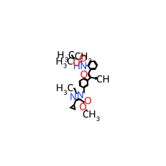 C#Cc1c(-c2ccccc2NC(=O)OC(C)(C)C)oc2ccc(Cn3c(CC)nc(C4CC4)c3C(=O)OCC)cc12